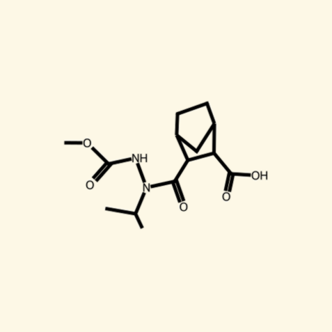 COC(=O)NN(C(=O)C1C2CCC(C2)C1C(=O)O)C(C)C